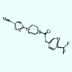 N#Cc1ccc(N2CCN(C(=O)Cc3ccc(C(F)F)nc3)CC2)nn1